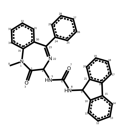 CN1C(=O)C(NC(=O)NC2c3ccccc3-c3ccccc32)N=C(c2ccccc2)c2ccccc21